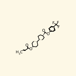 CC=CC(=O)O[C@H]1CC[C@H]([C@H]2CC[C@H](C(=O)Oc3ccc(C(F)(F)F)cc3)CC2)CC1